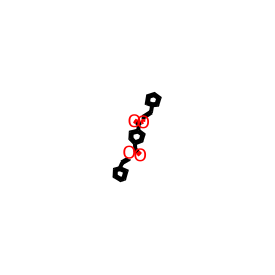 O=C(OC=Cc1ccccc1)c1ccc(C(=O)OC=Cc2ccccc2)cc1